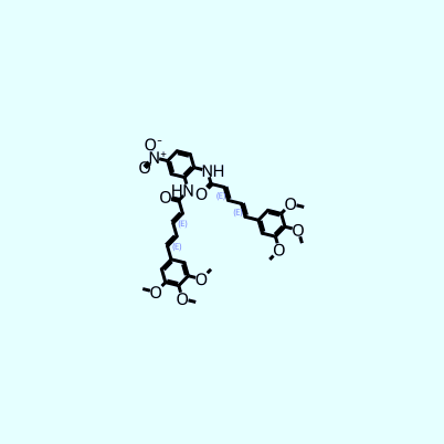 COc1cc(/C=C/C=C/C(=O)Nc2ccc([N+](=O)[O-])cc2NC(=O)/C=C/C=C/c2cc(OC)c(OC)c(OC)c2)cc(OC)c1OC